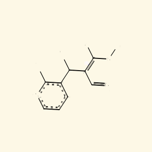 CCN/C(Br)=C(\C=N)C(O)c1cccnc1Br